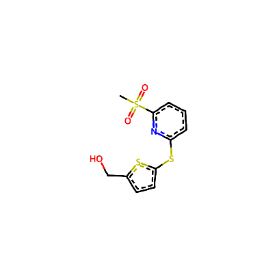 CS(=O)(=O)c1cccc(Sc2ccc(CO)s2)n1